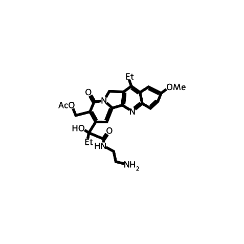 CCc1c2c(nc3ccc(OC)cc13)-c1cc(C(O)(CC)C(=O)NCCN)c(COC(C)=O)c(=O)n1C2